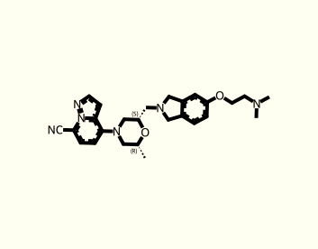 C[C@@H]1CN(c2ccc(C#N)n3nccc23)C[C@H](CN2Cc3ccc(OCCN(C)C)cc3C2)O1